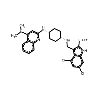 CCOC(=O)c1[nH]c2cc(Cl)cc(Cl)c2c1CN[C@H]1CC[C@@H](Nc2cc(N(C)C)c3ccccc3n2)CC1